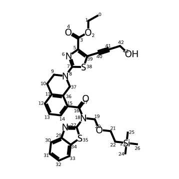 CCOC(=O)c1nc(N2CCc3cccc(C(=O)N(COCC[Si](C)(C)C)c4nc5ccccc5s4)c3C2)sc1C#CCO